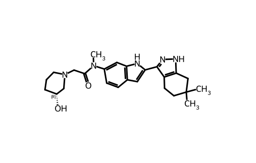 CN(C(=O)CN1CCC[C@@H](O)C1)c1ccc2cc(-c3n[nH]c4c3CCC(C)(C)C4)[nH]c2c1